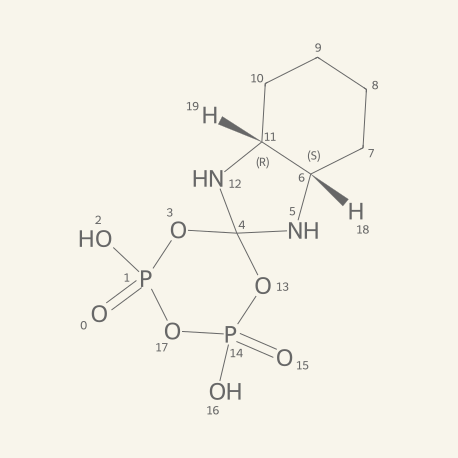 O=P1(O)OC2(N[C@H]3CCCC[C@H]3N2)OP(=O)(O)O1